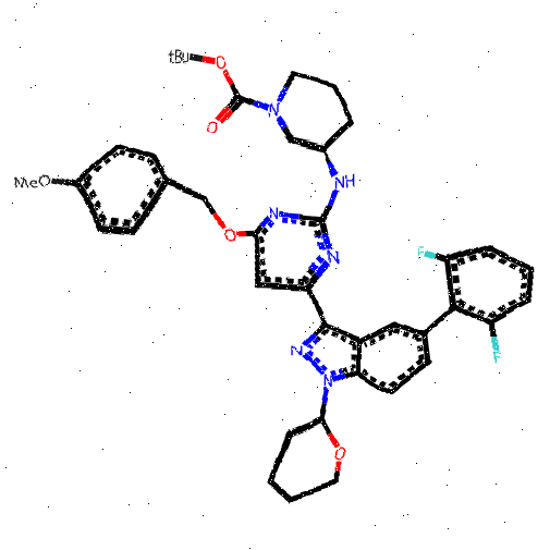 COc1ccc(COc2cc(-c3nn(C4CCCCO4)c4ccc(-c5c(F)cccc5F)cc34)nc(N[C@@H]3CCCN(C(=O)OC(C)(C)C)C3)n2)cc1